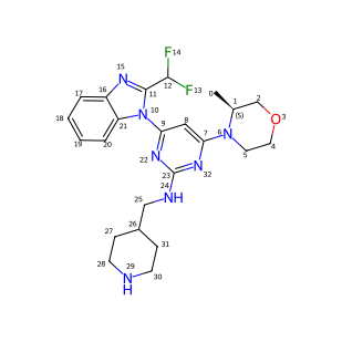 C[C@H]1COCCN1c1cc(-n2c(C(F)F)nc3ccccc32)nc(NCC2CCNCC2)n1